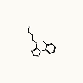 Cc1ccccc1-n1ccnc1SCCCO